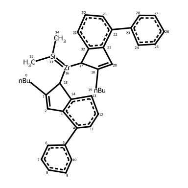 CCCCC1=Cc2c(-c3ccccc3)cccc2[CH]1[Zr]([CH]1C(CCCC)=Cc2c(-c3ccccc3)cccc21)=[Si](C)C